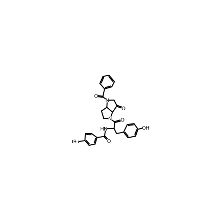 CC(C)(C)c1ccc(C(=O)NC(Cc2ccc(O)cc2)C(=O)N2CCC3C2C(=O)CN3C(=O)c2ccccc2)cc1